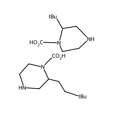 CC(C)(C)C1CNCCN1C(=O)O.CC(C)(C)CCC1CNCCN1C(=O)O